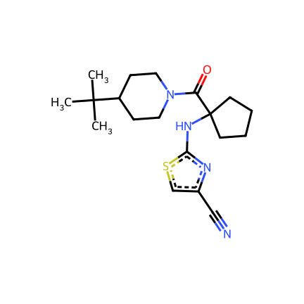 CC(C)(C)C1CCN(C(=O)C2(Nc3nc(C#N)cs3)CCCC2)CC1